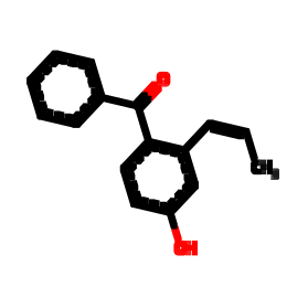 C/C=C\c1cc(O)ccc1C(=O)c1ccccc1